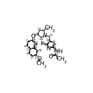 COc1ccc2ccc(O[C@@H]3C[C@H](C)N(Cc4sc(NC(C)=O)nc4F)C3)nc2c1